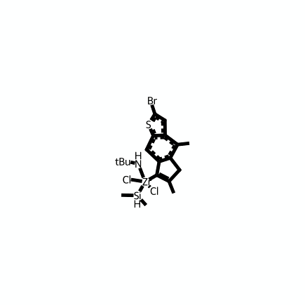 CC1=[C]([Zr]([Cl])([Cl])([NH]C(C)(C)C)[SiH](C)C)c2cc3sc(Br)cc3c(C)c2C1